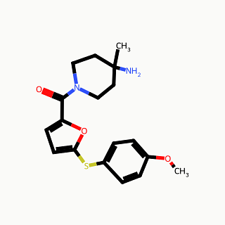 COc1ccc(Sc2ccc(C(=O)N3CCC(C)(N)CC3)o2)cc1